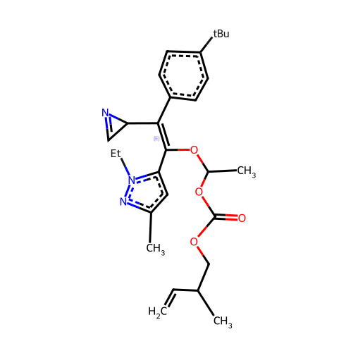 C=CC(C)COC(=O)OC(C)O/C(=C(\c1ccc(C(C)(C)C)cc1)C1C=N1)c1cc(C)nn1CC